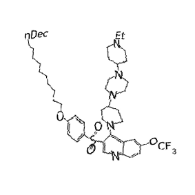 CCCCCCCCCCCCCCCCCCCCOc1ccc(S(=O)(=O)c2cnc3ccc(OC(F)(F)F)cc3c2N2CCC(N3CCN(C4CCN(CC)CC4)CC3)CC2)cc1